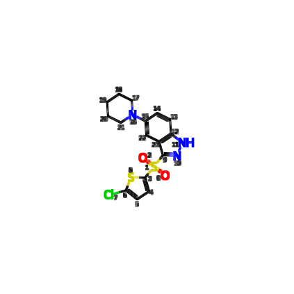 O=S(=O)(c1ccc(Cl)s1)c1n[nH]c2ccc(N3CCCCC3)cc12